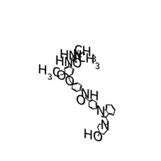 COc1cc(NC(=O)NN(C)C)ccc1Oc1ccc(NC(=O)c2ccc(-n3cc(CN4CCC(O)CC4)c4ccccc43)cc2)cc1